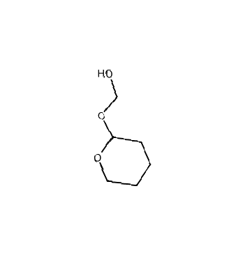 OCOC1CCCCO1